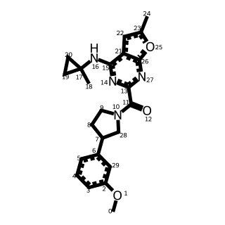 COc1cccc(C2CCN(C(=O)c3nc(NC4(C)CC4)c4cc(C)oc4n3)C2)c1